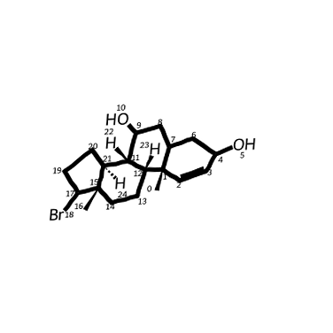 C[C@]12C=CC(O)CC1CC(O)[C@@H]1[C@H]2CC[C@]2(C)C(Br)CC[C@@H]12